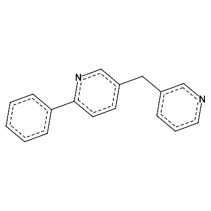 c1ccc(-c2ccc(Cc3cccnc3)cn2)cc1